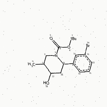 CC1CN(C(=O)OC(C)(C)C)C(c2cccc(Br)c2)CC1O